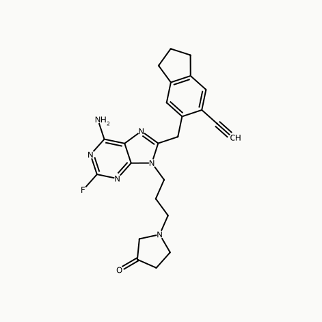 C#Cc1cc2c(cc1Cc1nc3c(N)nc(F)nc3n1CCCN1CCC(=O)C1)CCC2